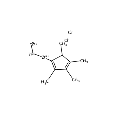 CC1=C(C)C(C)[C]([Zr+2][NH]C(C)(C)C)=C1C.[Cl-].[Cl-]